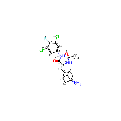 NC12CC=C(C[C@@H](NC(=O)C(F)(F)F)C(=O)Nc3cc(Cl)c(F)c(Cl)c3)C(C1)C2